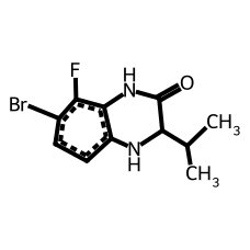 CC(C)C1Nc2ccc(Br)c(F)c2NC1=O